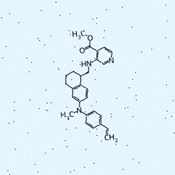 C=Cc1ccc(N(C)c2ccc3c(c2)CCC[C@H]3CNc2cnccc2C(=O)OC)cc1